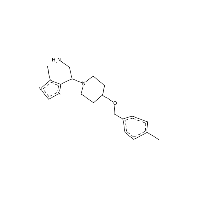 Cc1ccc(COC2CCN(C(CN)c3scnc3C)CC2)cc1